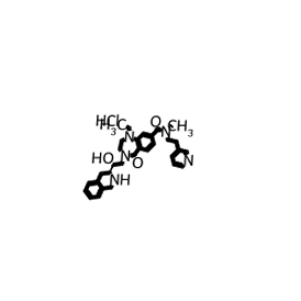 CCN1CCN(CC(O)[C@@H]2Cc3ccccc3CN2)C(=O)c2ccc(C(=O)N(C)CCc3cccnc3)cc21.Cl